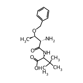 C[C@@H](OCc1ccccc1)[C@H](N)C(=O)N[C@H](C(=O)O)C(C)(C)C